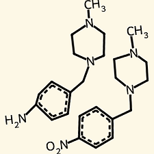 CN1CCN(Cc2ccc(N)cc2)CC1.CN1CCN(Cc2ccc([N+](=O)[O-])cc2)CC1